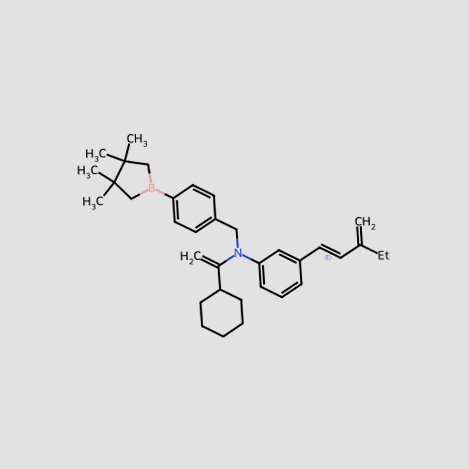 C=C(/C=C/c1cccc(N(Cc2ccc(B3CC(C)(C)C(C)(C)C3)cc2)C(=C)C2CCCCC2)c1)CC